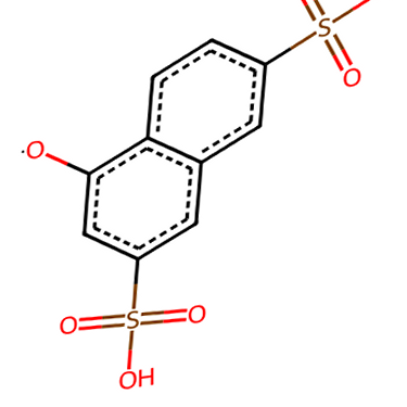 [O]c1cc(S(=O)(=O)O)cc2cc(S(=O)(=O)O)ccc12